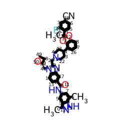 Cc1n[nH]c2c(C)cc(NC(=O)c3ccc4c(c3)nc(CN3CCC(c5cccc6c5OC(C)(c5ccc(C#N)cc5F)O6)CC3)n4C[C@@H]3CCO3)cc12